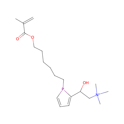 C=C(C)C(=O)OCCCCCCp1cccc1C(O)C[N+](C)(C)C